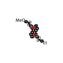 CCc1ccc(C(=O)Oc2ccc(C(=O)Oc3c(-c4c(-c5ccccc5)cc5ccc6ccccc6c5c4OC(=O)c4ccc(OC(=O)c5ccc(OC)cc5)cc4)c(-c4ccccc4)cc4ccc5ccccc5c34)cc2)cc1